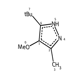 COc1c(C)n[nH]c1C(C)(C)C